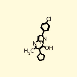 Cc1nc2cc(-c3ccc(Cl)cc3)nn2c(O)c1C1CCCC1